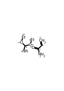 C=CC(N)=O.CCCC(OCC)OCC